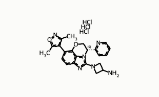 Cc1noc(C)c1-c1ccc2nc(N3CC(N)C3)n3c2c1OC[C@@H]3c1ccccn1.Cl.Cl.Cl